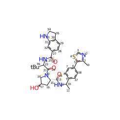 Cc1ncsc1-c1ccc(C(C)NC(=O)[C@@H]2C[C@@H](O)CN2C(=O)C(NC(=O)c2ccc3c(c2)NCC3)C(C)(C)C)cc1